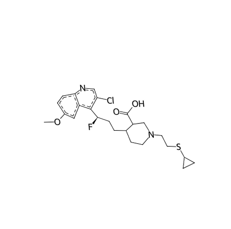 COc1ccc2ncc(Cl)c([C@H](F)CCC3CCN(CCSC4CC4)CC3C(=O)O)c2c1